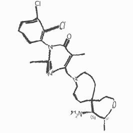 Cc1c(N2CCC3(CC2)CO[C@@H](C)[C@H]3N)nc(C)n(C2=C(Cl)C(Cl)=CCC2)c1=O